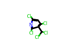 Clc1cc(Cl)c(C(Cl)Cl)c(Cl)n1